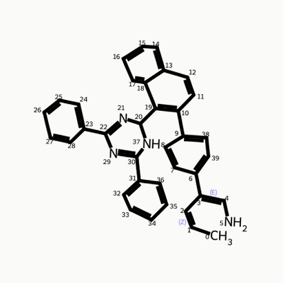 C/C=C\C(=C/N)c1ccc(-c2ccc3ccccc3c2C2N=C(c3ccccc3)N=C(c3ccccc3)N2)cc1